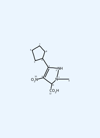 CN1NC(C2CCCC2)=C([N+](=O)[O-])C1C(=O)O